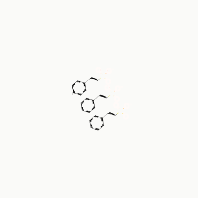 O=S(=O)([O-])C=Cc1ccccc1.O=S(=O)([O-])C=Cc1ccccc1.O=S(=O)([O-])C=Cc1ccccc1.[La+3]